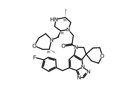 C[C@@H]1CN(CC(=O)N2CC3(CCOCC3)c3c2cc(Cc2ccc(F)cc2)c2ncnn32)[C@@H](CN2CCOC[C@H]2C)CN1